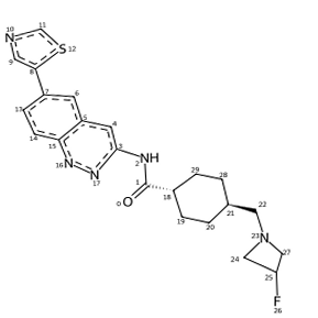 O=C(Nc1cc2cc(-c3cncs3)ccc2nn1)[C@H]1CC[C@H](CN2CC(F)C2)CC1